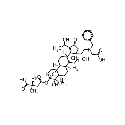 CC(C)C1=C2[C@H]3CC[C@@H]4[C@@]5(C)CC[C@H](OC(=O)CC(C)(C)C(=O)O)C(C)(C)[C@@H]5CC[C@@]4(C)[C@]3(C)CC[C@@]2([C@@H](O)CN(CC(=O)O)Cc2ccccc2)CC1=O